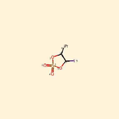 CC(C)C1OS(=O)(=O)OC1I